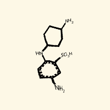 Nc1ccc(NC2CCC(N)CC2)c(S(=O)(=O)O)c1